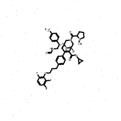 Cc1ccc(C(CNC=O)[C@]23CC(c4ccc(CCCOc5c(F)ccc(F)c5F)cc4)=C(C(=O)OC4CC4)[C@@H](CN(C(=O)C4CCCN4O)C2)N3)cc1